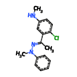 CNc1ccc(Cl)c(/C(C)=N/N(C)c2ccccc2)c1